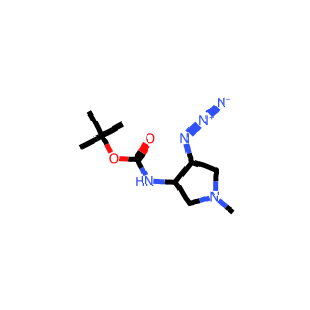 CN1CC(N=[N+]=[N-])C(NC(=O)OC(C)(C)C)C1